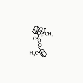 CC1C2CC3CC(C2)CC1(COCOC(=O)CC1C2CC4CC(C2)C(OC(=O)C(C)(F)F)C1C4)C3